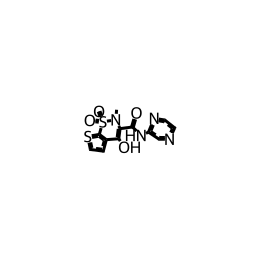 CN1C(C(=O)Nc2cnccn2)=C(O)c2ccsc2S1(=O)=O